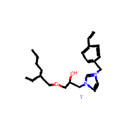 C=Cc1ccc(C[n+]2ccn(CC(O)COCC(CC)CCCC)c2)cc1.[I-]